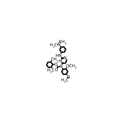 COc1ccc(N(C(=O)Oc2c(C)cccc2C)c2ccnc(Nc3cccc(N(C)C)c3)n2)c(OC)c1